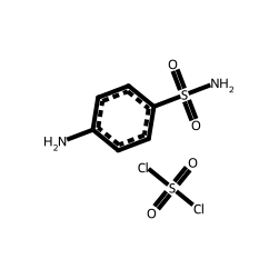 Nc1ccc(S(N)(=O)=O)cc1.O=S(=O)(Cl)Cl